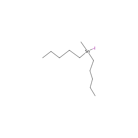 CCCC[CH2][Sn]([CH3])([I])[CH2]CCCC